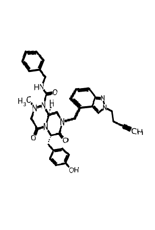 C#CCCn1cc2c(CN3C[C@H]4N(C(=O)CN(C)N4C(=O)NCc4ccccc4)[C@@H](Cc4ccc(O)cc4)C3=O)cccc2n1